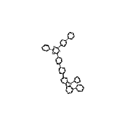 c1ccc(-c2ccc(-c3nc(-c4ccccc4)nc(-c4ccc(-c5ccc(-c6ccc7c8cccc(-c9ccccc9)c8n(-c8ccccc8)c7c6)cc5)cc4)n3)cc2)cc1